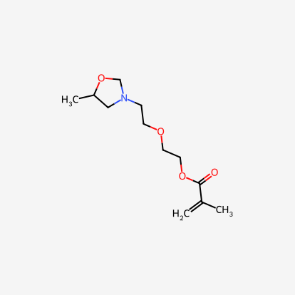 C=C(C)C(=O)OCCOCCN1COC(C)C1